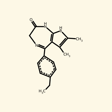 CCc1ccc(C2=NCC(=O)NC3=C2C(C)=C(C)B3)cc1